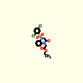 CCOC(=O)CN1C(=O)CN(S(=O)(=O)c2cc(Cl)ccc2Cl)c2ccccc21